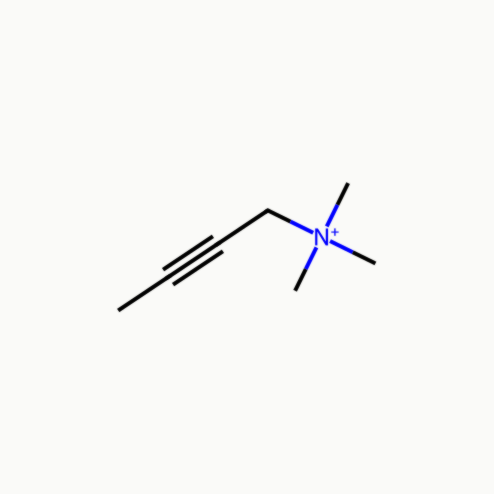 CC#CC[N+](C)(C)C